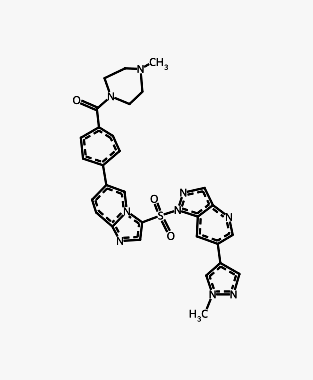 CN1CCN(C(=O)c2ccc(-c3ccc4ncc(S(=O)(=O)n5ncc6ncc(-c7cnn(C)c7)cc65)n4c3)cc2)CC1